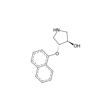 O[C@@H]1CNC[C@H]1Oc1cccc2ccccc12